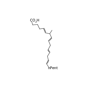 CCCCCC=CCC=CCC=CC(C)C=CCCCC(=O)O